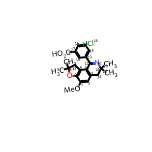 COc1cc2c(c3c1OC(C)(C)C3)C(c1cccc(C(=O)O)c1)=NC(C)(C)C2.Cl